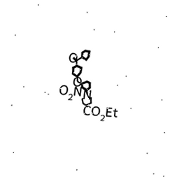 CCOC(=O)C1CCN(c2cccc(Oc3ccc(C(=O)c4ccccc4)cc3)c2[N+](=O)[O-])CC1